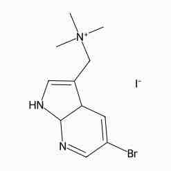 C[N+](C)(C)CC1=CNC2N=CC(Br)=CC12.[I-]